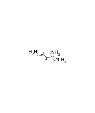 CCC(N)CC=CN